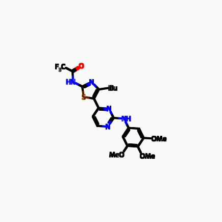 CCC(C)c1nc(NC(=O)C(F)(F)F)sc1-c1ccnc(Nc2cc(OC)c(OC)c(OC)c2)n1